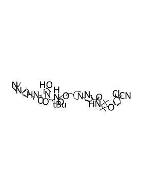 Cc1nccn1-c1ccc([C@H](C)NC(=O)[C@@H]2C[C@@H](O)CN2C(=O)[C@@H](NC(=O)COCC2CCN(c3ccc(C(=O)NC4C(C)(C)C(Oc5ccc(C#N)c(Cl)c5)C4(C)C)cn3)CC2)C(C)(C)C)cc1